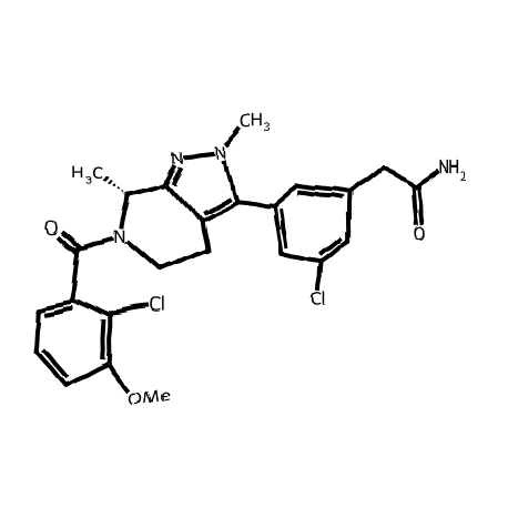 COc1cccc(C(=O)N2CCc3c(nn(C)c3-c3cc(Cl)cc(CC(N)=O)c3)[C@H]2C)c1Cl